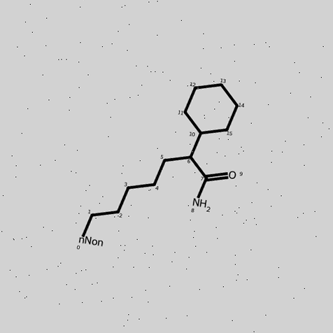 CCCCCCCCCCCCCCC(C(N)=O)C1CCCCC1